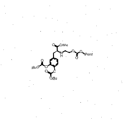 CCCC(C)OC(=O)OCCN[C@@H](Cc1ccc(OC(=O)OCC(C)C)c(OC(=O)OCC(C)C)c1)C(=O)OC